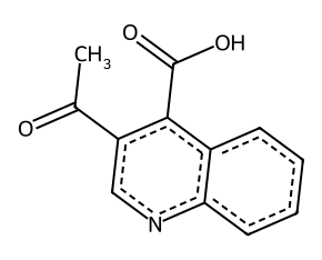 CC(=O)c1cnc2ccccc2c1C(=O)O